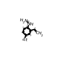 C=Cc1cc(CC)ccc1NN